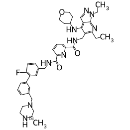 CCc1nc2c(cnn2CC)c(NC2CCOCC2)c1CNC(=O)c1cccc(C(=O)NCc2ccc(F)c(-c3cccc(CN4CCN[C@@H](C)C4)c3)c2)n1